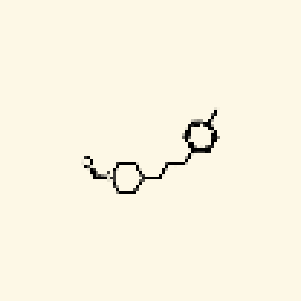 Cc1ccc(CCCC2CCN(C=O)CC2)cc1